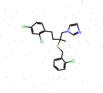 CC(CCc1ccc(Cl)cc1Cl)(Cn1ccnc1)SCc1ccccc1Cl